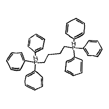 c1ccc([PH](CCCC[PH](c2ccccc2)(c2ccccc2)c2ccccc2)(c2ccccc2)c2ccccc2)cc1